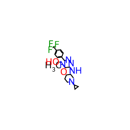 Cn1c(-c2ccc(C(F)(F)F)cc2O)nnc(NC2CCCN(C3CC3)C2)c1=O